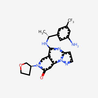 C[C@@H](Nc1nc2ccnn2c2cc(=O)n([C@H]3CCOC3)cc12)c1cc(N)cc(C(F)(F)F)c1